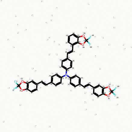 FC1(F)Oc2ccc(/C=C/c3ccc(N(c4ccc(/C=C/c5ccc6c(c5)OC(F)(F)O6)cc4)c4ccc(/C=C/c5cccc6c5OC(F)(F)O6)cc4)cc3)cc2O1